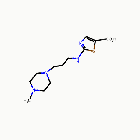 CN1CCN(CCCNc2ncc(C(=O)O)s2)CC1